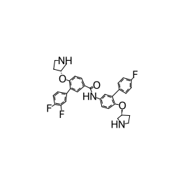 O=C(Nc1ccc(O[C@H]2CCNC2)c(-c2ccc(F)cc2)c1)c1ccc(O[C@@H]2CCNC2)c(-c2ccc(F)c(F)c2)c1